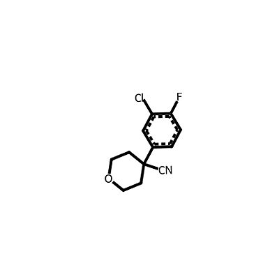 N#CC1(c2ccc(F)c(Cl)c2)CCOCC1